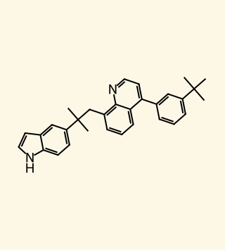 CC(C)(C)c1cccc(-c2ccnc3c(CC(C)(C)c4ccc5[nH]ccc5c4)cccc23)c1